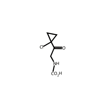 O=C(O)NCC(=O)C1(Cl)CC1